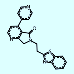 O=C1c2c(-c3ccncc3)ccnc2CN1CCc1nc2ccccc2s1